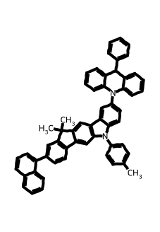 Cc1ccc(-n2c3ccc(N4c5ccccc5C(c5ccccc5)c5ccccc54)cc3c3cc4c(cc32)-c2ccc(-c3cccc5ccccc35)cc2C4(C)C)cc1